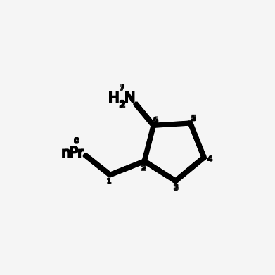 CCCC[C]1CCCC1N